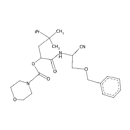 CC(C)C(C)(C)CC(OC(=O)N1CCOCC1)C(=O)NC(C#N)COCc1ccccc1